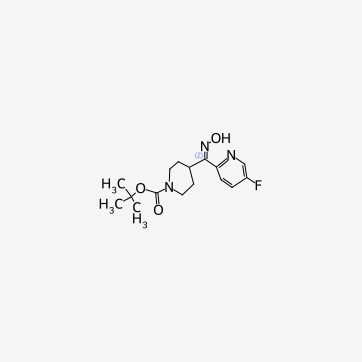 CC(C)(C)OC(=O)N1CCC(/C(=N/O)c2ccc(F)cn2)CC1